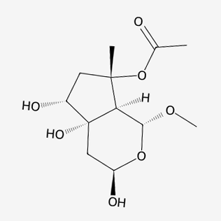 CO[C@@H]1O[C@@H](O)C[C@@]2(O)[C@H](O)C[C@](C)(OC(C)=O)[C@@H]12